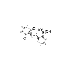 OB(O)c1ccccc1COc1c(Cl)cccc1Cl